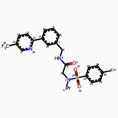 CC(C)N(CC(=O)NCc1cccc(-c2ccc(C(F)(F)F)cn2)c1)S(=O)(=O)c1ccc(F)cc1